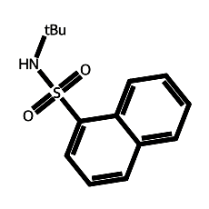 CC(C)(C)NS(=O)(=O)c1cccc2ccccc12